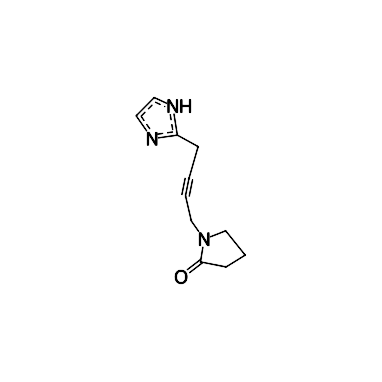 O=C1CCCN1CC#CCc1ncc[nH]1